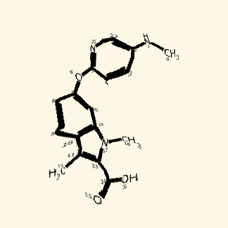 CNc1ccc(Oc2ccc3c(C)c(C(=O)O)n(C)c3c2)nc1